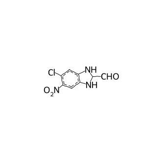 O=CC1Nc2cc(Cl)c([N+](=O)[O-])cc2N1